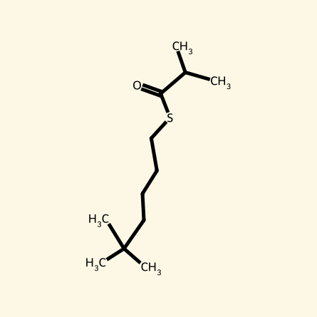 CC(C)C(=O)SCCCCC(C)(C)C